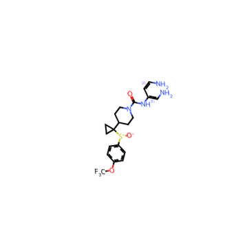 N/C=C\C(=C/N)NC(=O)N1CCC(C2([S+]([O-])c3ccc(OC(F)(F)F)cc3)CC2)CC1